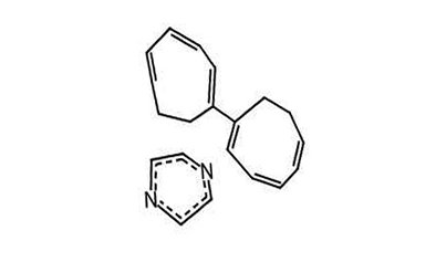 C1=CC=C(C2=CC=CC=CCC2)CCC=C1.c1cnccn1